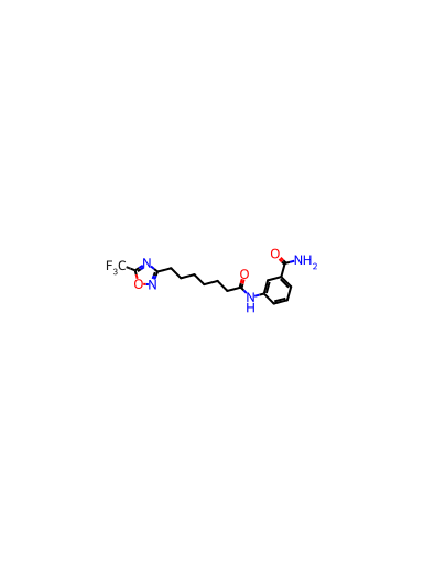 NC(=O)c1cccc(NC(=O)CCCCCCc2noc(C(F)(F)F)n2)c1